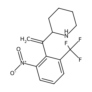 C=C(c1c([N+](=O)[O-])cccc1C(F)(F)F)C1CCCCN1